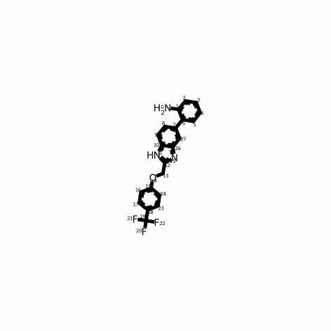 Nc1ccccc1-c1ccc2[nH]c(COc3ccc(C(F)(F)F)cc3)nc2c1